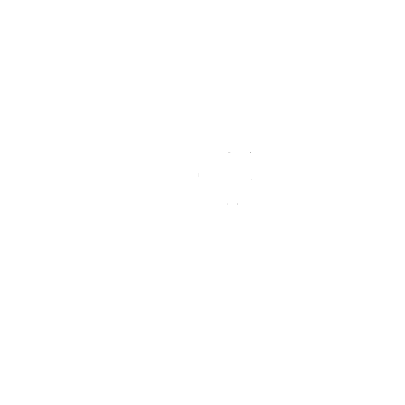 CC(C)C1=C(C(C)C)OC2(CCC2)O1